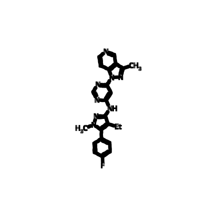 CCc1c(Nc2cc(-n3nc(C)c4cnccc43)ncn2)nn(C)c1-c1ccc(F)cc1